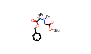 CCC[C@@H](C(=O)OCc1ccccc1)N(CC)CC(=O)OC(C)(C)C